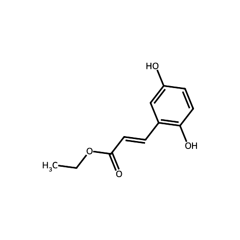 CCOC(=O)C=Cc1cc(O)ccc1O